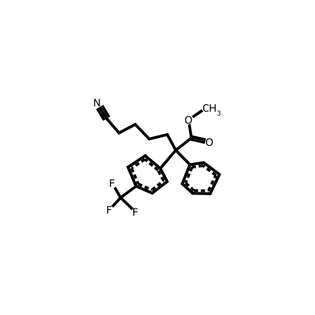 COC(=O)C(CCCCC#N)(c1ccccc1)c1ccc(C(F)(F)F)cc1